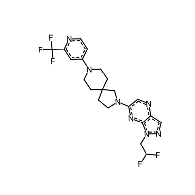 FC(F)Cn1ncc2ncc(N3CCC4(CCN(c5ccnc(C(F)(F)F)c5)CC4)C3)nc21